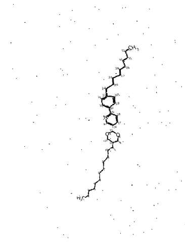 CCCCCCCCCCCC[C@H]1CO[C@H](c2ccc(-c3ccc(CCCCCCCCCC)cc3)nc2)OC1